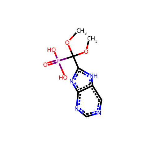 COC(OC)(c1nc2ncncc2[nH]1)P(=O)(O)O